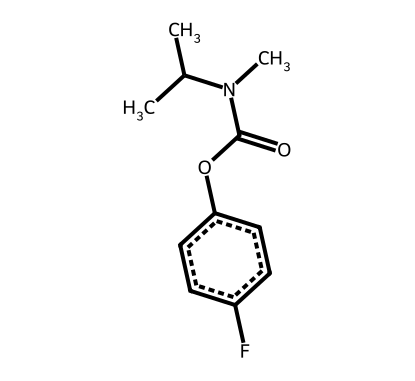 CC(C)N(C)C(=O)Oc1ccc(F)cc1